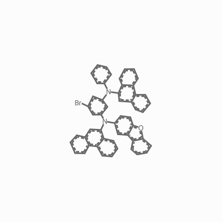 Brc1cc(N(c2ccccc2)c2cc3ccccc3c3ccccc23)cc(N(c2ccc3oc4ccccc4c3c2)c2cc3ccccc3c3ccccc23)c1